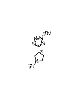 CC(C)N1CC[C@@H](c2nnn(C(C)(C)C)n2)C1